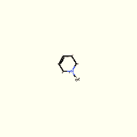 CC(=O)N1CC=CCC1